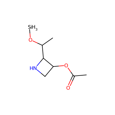 CC(=O)OC1CNC1C(C)O[SiH3]